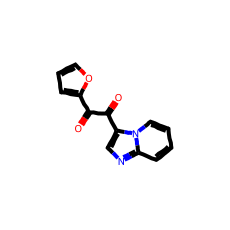 O=C(C(=O)c1cnc2ccccn12)c1ccco1